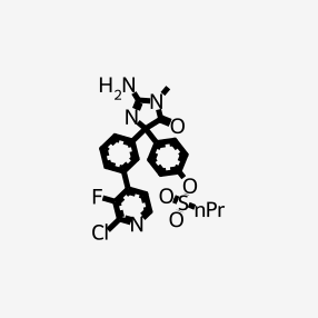 CCCS(=O)(=O)Oc1ccc(C2(c3cccc(-c4ccnc(Cl)c4F)c3)N=C(N)N(C)C2=O)cc1